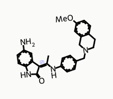 COc1ccc2c(c1)CN(Cc1ccc(N/C(C)=C3\C(=O)Nc4ccc(N)cc43)cc1)CC2